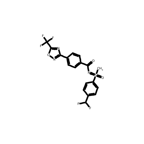 CS(=O)(=NC(=O)c1ccc(-c2noc(C(F)(F)F)n2)cc1)c1ccc(C(F)F)cc1